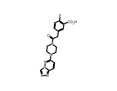 O=C(O)c1cc(CC(=O)N2CCN(c3ccc4nncn4n3)CC2)ccc1F